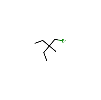 CCC(C)(CC)CBr